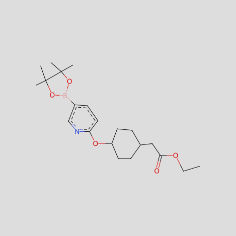 CCOC(=O)CC1CCC(Oc2ccc(B3OC(C)(C)C(C)(C)O3)cn2)CC1